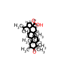 CC1CC2(C)C(CCC3(C)C2CCC2C4C(C(C)C)CCC4(C(=O)O)CC[C@]23C)C(C)(C)C1=O